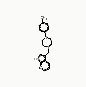 Cc1ccc(N2CCN(Cc3c[nH]c4ncccc34)CC2)cc1